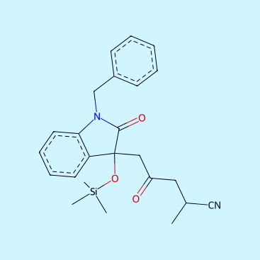 CC(C#N)CC(=O)CC1(O[Si](C)(C)C)C(=O)N(Cc2ccccc2)c2ccccc21